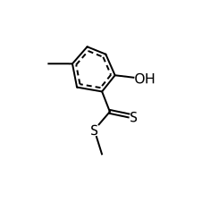 CSC(=S)c1cc(C)ccc1O